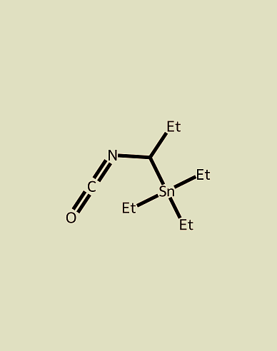 CC[CH](N=C=O)[Sn]([CH2]C)([CH2]C)[CH2]C